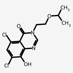 CC(C)OCCn1cnc2c(O)c(Cl)cc(Cl)c2c1=O